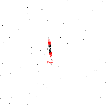 O.O=[Si]=O